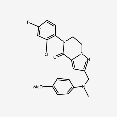 COc1ccc(N(C)Cc2cc3n(n2)CCN(c2ccc(F)cc2Cl)C3=O)cc1